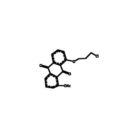 CC(=O)Oc1cccc2c1C(=O)c1c(OCCCCl)cccc1C2=O